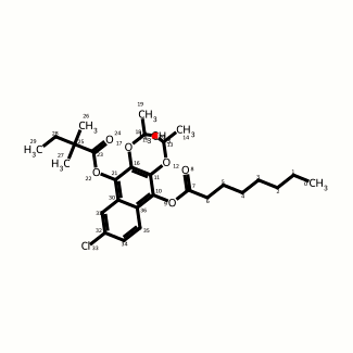 CCCCCCCC(=O)Oc1c(OC(C)C)c(OC(C)C)c(OC(=O)C(C)(C)CC)c2cc(Cl)ccc12